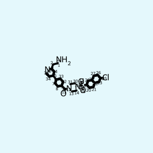 NCCc1cc(-c2ccc(C(=O)N3CCN(S(=O)(=O)c4ccc5cc(Cl)ccc5c4)CC3)cc2)ccn1